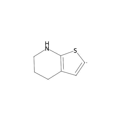 [c]1cc2c(s1)NCCC2